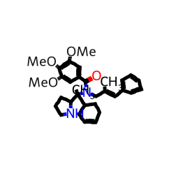 COc1cc(C(=O)N(C/C(C)=C/c2ccccc2)C(C)(C2CC=CCC2)C2CCCN2)cc(OC)c1OC